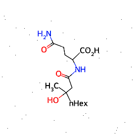 CCCCCCC(C)(O)CC(=O)NC(CCC(N)=O)C(=O)O